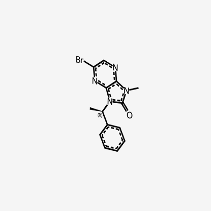 C[C@H](c1ccccc1)n1c(=O)n(C)c2ncc(Br)nc21